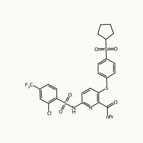 CCCC(=O)c1nc(NS(=O)(=O)c2ccc(C(F)(F)F)cc2Cl)ccc1Sc1ccc(S(=O)(=O)C2CCCC2)cc1